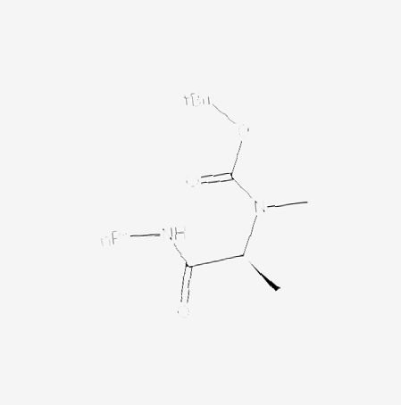 CCCNC(=O)[C@H](C)N(C)C(=O)OC(C)(C)C